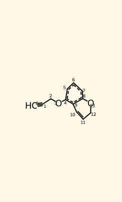 C#CCOc1cccc2c1C=CCO2